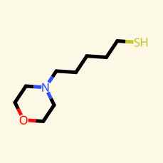 SCCCCCN1CCOCC1